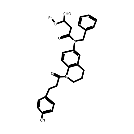 CCOC(C=O)CC(=O)N(Cc1ccccc1)c1ccc2c(c1)CCCN2C(=O)CCc1ccc(C#N)cc1